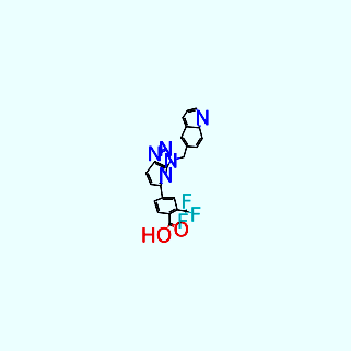 O=C(O)c1ccc(-c2ccc3nnn(Cc4ccc5ncccc5c4)c3n2)cc1C(F)(F)F